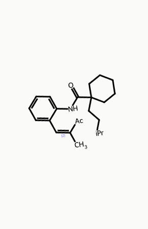 CC(=O)/C(C)=C\c1ccccc1NC(=O)C1(CCC(C)C)CCCCC1